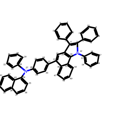 c1ccc(-c2c(-c3ccccc3)n(-c3ccccc3)c3c2cc(-c2ccc(N(c4ccccc4)c4cccc5ccccc45)cc2)c2ccccc23)cc1